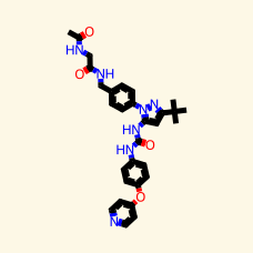 CC(=O)NCC(=O)NCc1ccc(-n2nc(C(C)(C)C)cc2NC(=O)Nc2ccc(Oc3ccncc3)cc2)cc1